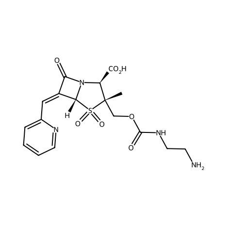 C[C@]1(COC(=O)NCCN)[C@H](C(=O)O)N2C(=O)/C(=C/c3ccccn3)[C@H]2S1(=O)=O